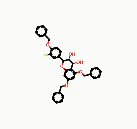 O[C@@H]1C(c2ccc(OCc3ccccc3)c(F)c2)Oc2cc(OCc3ccccc3)cc(OCc3ccccc3)c2[C@@H]1O